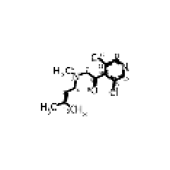 CC(C)=CCN(C)CC(=O)c1c(Cl)cncc1Cl